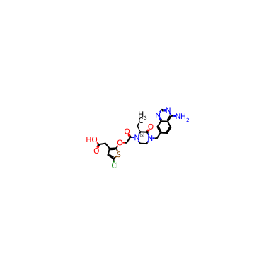 CC[C@H]1C(=O)N(Cc2ccc3c(N)ncnc3c2)CCN1C(=O)COc1sc(Cl)cc1CC(=O)O